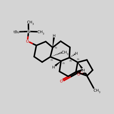 CC1OC(=O)C23CC[C@H]4[C@@H](CC[C@H]5CC(O[Si](C)(C)C(C)(C)C)CC[C@@]54C)[C@@H]2CCC13